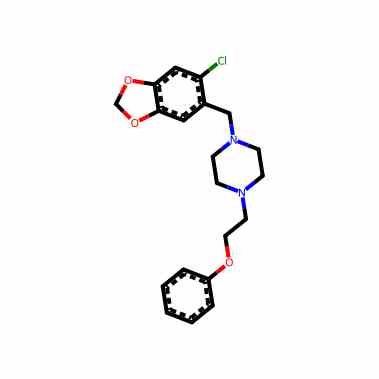 Clc1cc2c(cc1CN1CCN(CCOc3ccccc3)CC1)OCO2